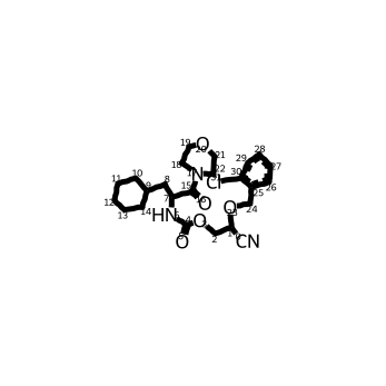 N#CC(COC(=O)NC(CC1CCCCC1)C(=O)N1CCOCC1)OCc1ccccc1Cl